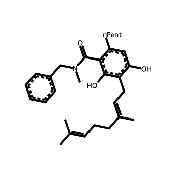 CCCCCc1cc(O)c(C/C=C(\C)CCC=C(C)C)c(O)c1C(=O)N(C)Cc1ccccc1